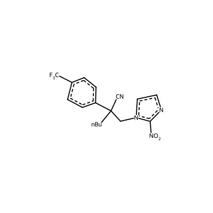 CCCCC(C#N)(Cn1ccnc1[N+](=O)[O-])c1ccc(C(F)(F)F)cc1